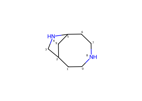 C1CC2CNC(CCN1)C2